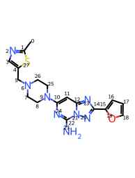 Cc1ncc(CN2CCN(c3cc4nc(-c5ccco5)nn4c(N)n3)CC2)s1